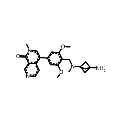 COc1cc(-c2cn(C)c(=O)c3cnccc23)cc(OC)c1CN(C)C12CC(N)(C1)C2